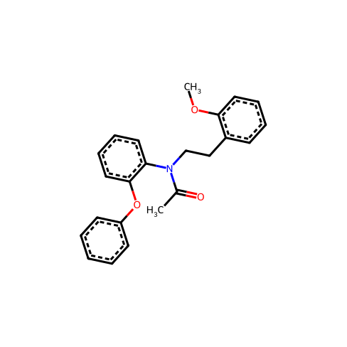 COc1ccccc1CCN(C(C)=O)c1ccccc1Oc1ccccc1